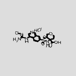 Cl.NC(=NCl)Nc1cncc2cc(S(=O)(=O)NC3(C(=O)O)CCOCC3)ccc12